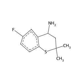 CC1(C)CC(N)c2cc(F)ccc2S1